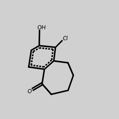 O=C1CCCCc2c1ccc(O)c2Cl